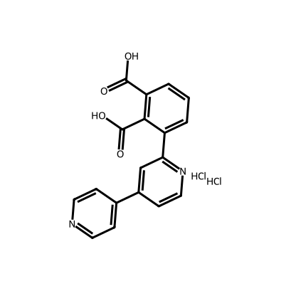 Cl.Cl.O=C(O)c1cccc(-c2cc(-c3ccncc3)ccn2)c1C(=O)O